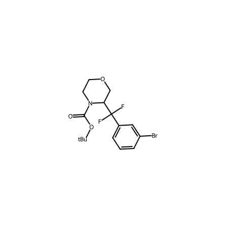 CC(C)(C)OC(=O)N1CCOCC1C(F)(F)c1cccc(Br)c1